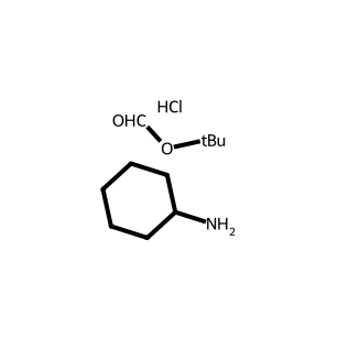 CC(C)(C)OC=O.Cl.NC1CCCCC1